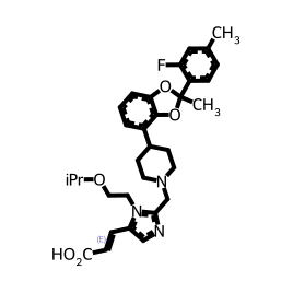 Cc1ccc(C2(C)Oc3cccc(C4CCN(Cc5ncc(/C=C/C(=O)O)n5CCOC(C)C)CC4)c3O2)c(F)c1